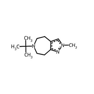 Cn1cc2c(n1)CCN(C(C)(C)C)CC2